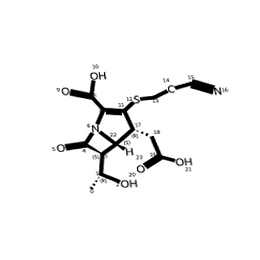 C[C@@H](O)[C@H]1C(=O)N2C(C(=O)O)=C(SCCC#N)[C@H](CC(=O)O)[C@H]12